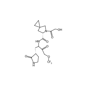 O=C(COC(F)(F)F)C(C[C@@H]1CCNC1=O)NC(=O)[C@@H]1CC2(CC2)CN1C(=O)CO